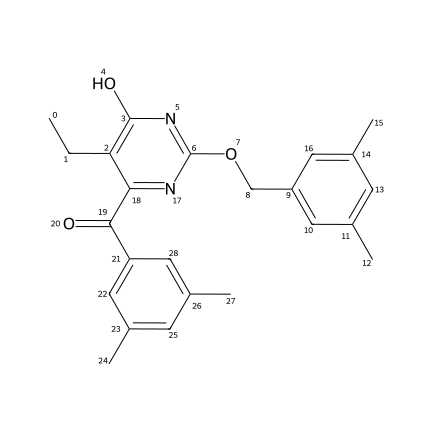 CCc1c(O)nc(OCc2cc(C)cc(C)c2)nc1C(=O)c1cc(C)cc(C)c1